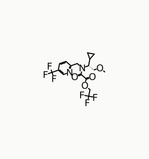 COC[C@@H](C1CC1)N(Cc1ccc(C(F)(F)F)cn1)C(=O)C(=O)OCC(F)(F)F